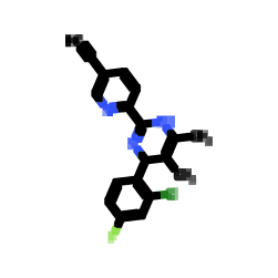 C#Cc1ccc(C2=NC(c3ccc(F)cc3Cl)C(C)=C(C)N2)nc1